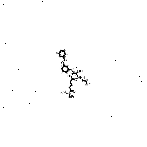 CCCN(CCC)C(=O)CCCC(=O)N[C@@H](Cc1cccc(OCc2ccccc2)c1)[C@H](O)CNCCC(C)C